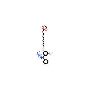 CN=[N+]=NC(c1ccccc1)c1cc(Br)cc(OCCCCCCCCC2OCCO2)c1